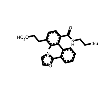 Cc1c(CCC(=O)O)ccc(C(=O)NCCC(C)(C)C)c1-c1ccccc1-c1ncco1